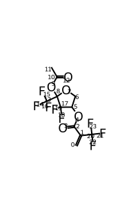 C=C(C(=O)OC1COC(OC(C)=O)(C(F)(F)F)C1(F)F)C(F)(F)F